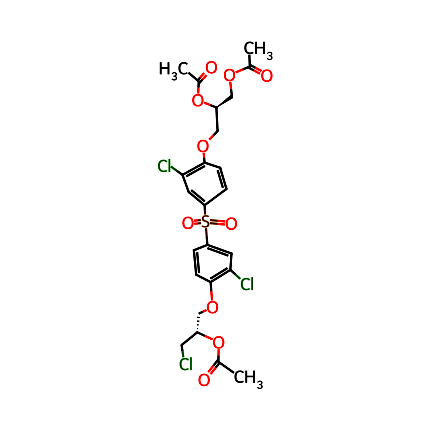 CC(=O)OC[C@@H](COc1ccc(S(=O)(=O)c2ccc(OC[C@@H](CCl)OC(C)=O)c(Cl)c2)cc1Cl)OC(C)=O